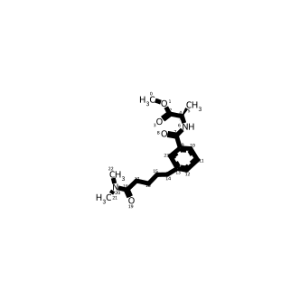 COC(=O)[C@@H](C)NC(=O)c1cccc(CCCCC(=O)N(C)C)c1